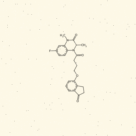 CC1C(=O)N(C)c2cc(F)ccc2N1C(=O)CCCOc1cccc2c1CCC2=O